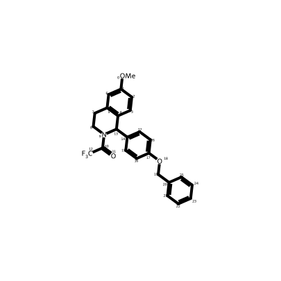 COc1ccc2c(c1)CCN(C(=O)C(F)(F)F)C2c1ccc(OCc2ccccc2)cc1